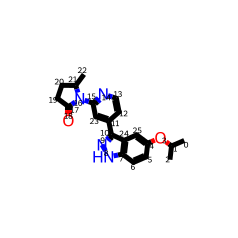 CC(C)Oc1ccc2[nH]nc(-c3ccnc(N4C(=O)CCC4C)c3)c2c1